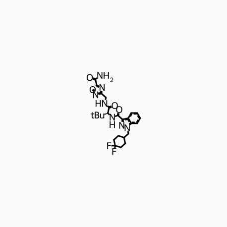 CC(C)(C)[C@H](NC(=O)c1nn(CC2CCC(F)(F)CC2)c2ccccc12)C(=O)NCc1noc(C(N)=O)n1